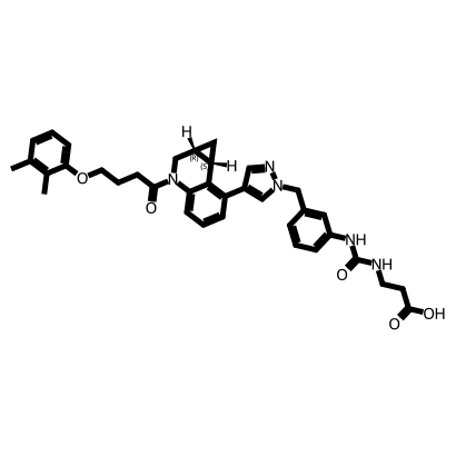 Cc1cccc(OCCCC(=O)N2C[C@@H]3C[C@@H]3c3c(-c4cnn(Cc5cccc(NC(=O)NCCC(=O)O)c5)c4)cccc32)c1C